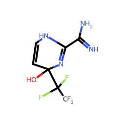 N=C(N)C1=NC(O)(C(F)(F)C(F)(F)F)C=CN1